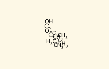 CC(C)C(C)/C=C/[C@@H](C)C1CC[C@@]23C(/C=C4/C[C@@H](O)CCC4=O)=C2CCC[C@]13C